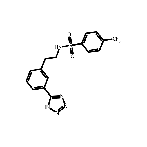 O=S(=O)(NCCc1cccc(-c2nnn[nH]2)c1)c1ccc(C(F)(F)F)cc1